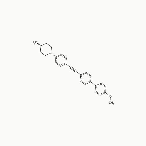 COc1ccc(-c2ccc(C#Cc3ccc([C@H]4CC[C@H](C)CC4)cc3)cc2)cc1